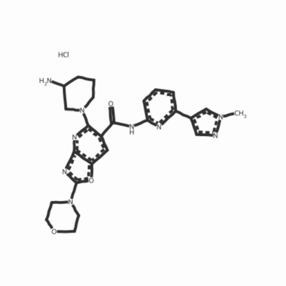 Cl.Cn1cc(-c2cccc(NC(=O)c3cc4oc(N5CCOCC5)nc4nc3N3CCCC(N)C3)n2)cn1